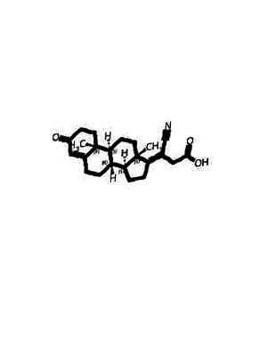 C[C@]12CCC(=O)C=C1CC[C@@H]1[C@@H]2CC[C@]2(C)C(=C(C#N)CC(=O)O)CC[C@@H]12